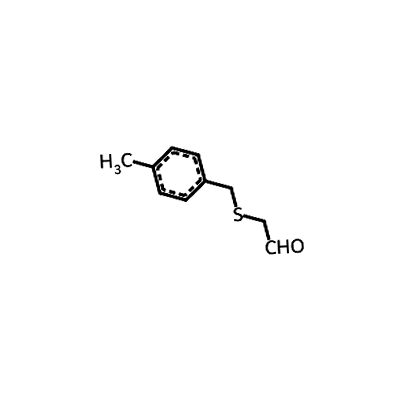 Cc1ccc(CSCC=O)cc1